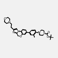 Cc1cc(-c2ccc3c(c2)OCc2nc(CCN4CCOCC4)cn2-3)ccc1N1CCN(C(=O)OC(C)(C)C)CC1